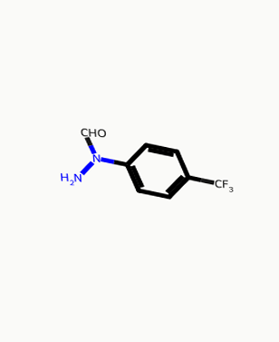 NN(C=O)c1ccc(C(F)(F)F)cc1